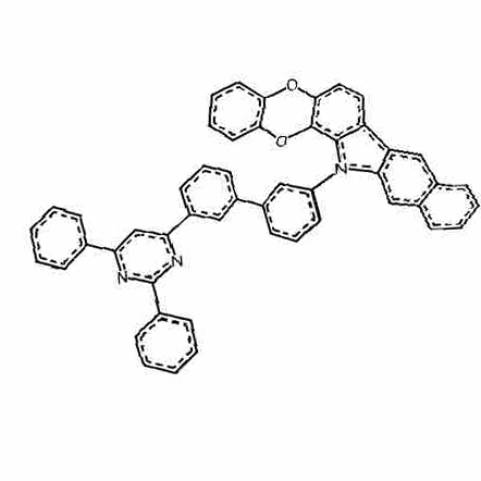 c1ccc(-c2cc(-c3cccc(-c4cccc(-n5c6cc7ccccc7cc6c6ccc7c(c65)Oc5ccccc5O7)c4)c3)nc(-c3ccccc3)n2)cc1